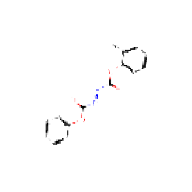 Cc1ccccc1OC(=O)/N=N/C(=O)Oc1ccccc1